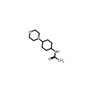 CC(=O)NC1CCC(N2CCOCC2)CC1